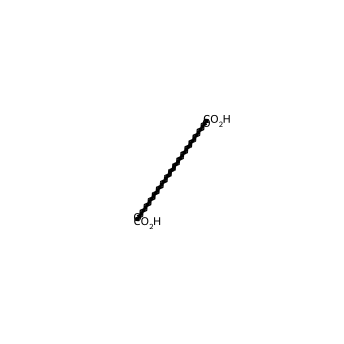 O=C(O)OCCCCCCCCCCCCCCCCCCCCCCCCCCCCCCCCOC(=O)O